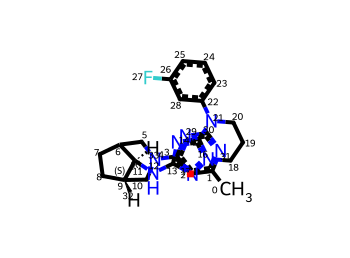 Cc1cc(N2CC3CC[C@@H](C2)[C@@H]3Nc2nc3n(n2)CCCN3c2cccc(F)c2)ncn1